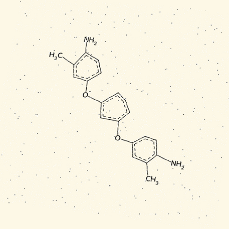 Cc1cc(Oc2cccc(Oc3ccc(N)c(C)c3)c2)ccc1N